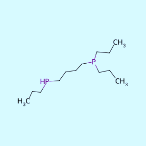 CCCPCCCCP(CCC)CCC